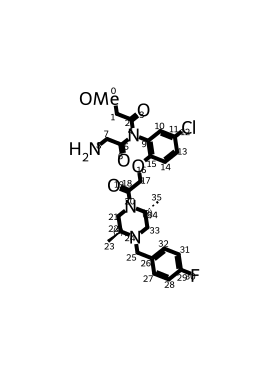 COCC(=O)N(C(=O)CN)c1cc(Cl)ccc1OCC(=O)N1C[C@H](C)N(Cc2ccc(F)cc2)C[C@H]1C